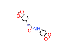 O=C(/C=C/c1ccc2c(c1)OCO2)NCc1ccc2c(c1)OCO2